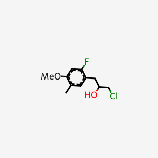 COc1cc(F)c(CC(O)CCl)cc1C